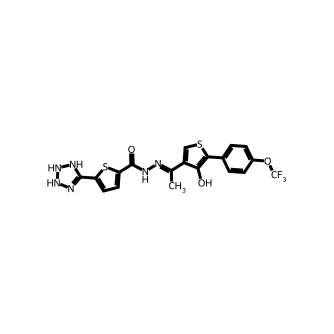 C/C(=N\NC(=O)c1ccc(C2=NNNN2)s1)c1csc(-c2ccc(OC(F)(F)F)cc2)c1O